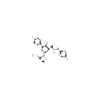 Cc1ccc(-c2cc(-n3ncnc3C(F)(F)F)cc(C(=O)NCc3ncc(C)cn3)c2F)nc1